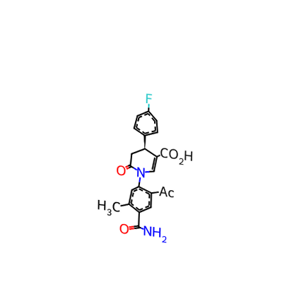 CC(=O)c1cc(C(N)=O)c(C)cc1N1C=C(C(=O)O)[C@H](c2ccc(F)cc2)CC1=O